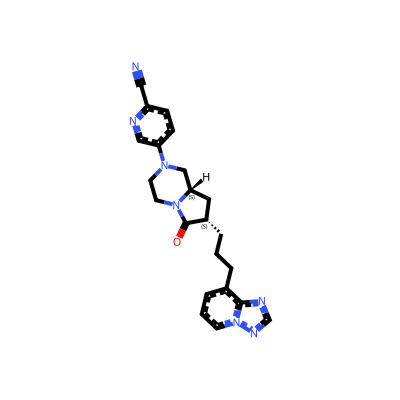 N#Cc1ccc(N2CCN3C(=O)[C@@H](CCCc4cccn5ncnc45)C[C@H]3C2)cn1